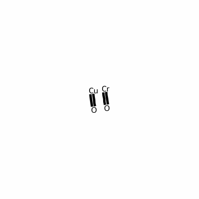 [O]=[Cr].[O]=[Cu]